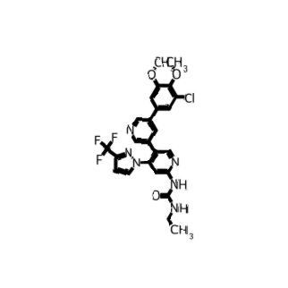 CCNC(=O)Nc1cc(-n2ccc(C(F)(F)F)n2)c(-c2cncc(-c3cc(Cl)c(OC)c(OC)c3)c2)cn1